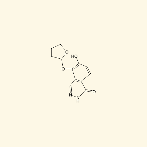 O=c1[nH]ncc2c(OC3CCCO3)c(O)ccc12